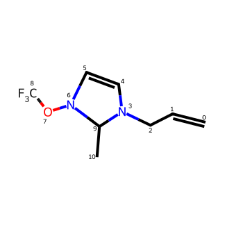 C=CCN1C=CN(OC(F)(F)F)C1C